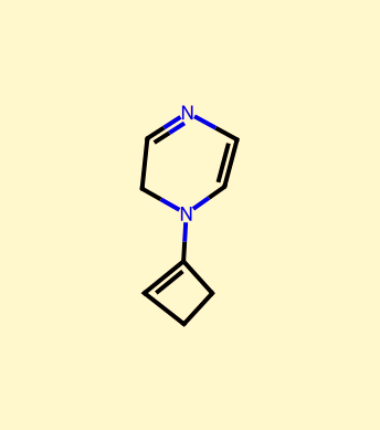 C1=CN(C2=CCC2)CC=N1